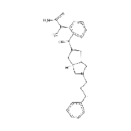 CN(C(N)=O)c1ccccc1C(=O)N1CC2CN(CC[CH]c3ccccc3)C[C@H]2C1